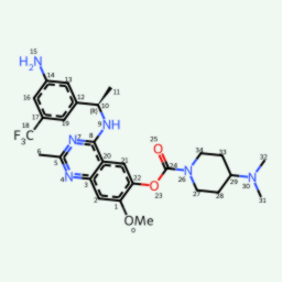 COc1cc2nc(C)nc(N[C@H](C)c3cc(N)cc(C(F)(F)F)c3)c2cc1OC(=O)N1CCC(N(C)C)CC1